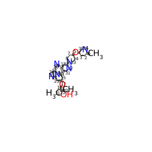 Cc1ccc(OC2CCN(c3ccc(-c4cc(OCC(C)(C)O)cc5ncc(C#N)n45)cn3)CC2)cn1